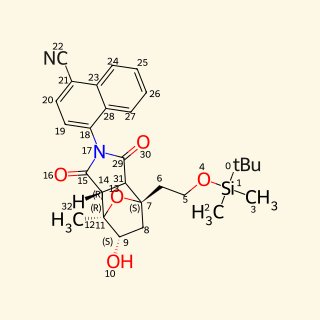 CC(C)(C)[Si](C)(C)OCC[C@@]12C[C@H](O)[C@](C)(O1)[C@@H]1C(=O)N(c3ccc(C#N)c4ccccc34)C(=O)C12